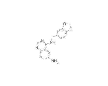 Nc1ccc2ncnc(NCc3ccc4c(c3)OCO4)c2c1